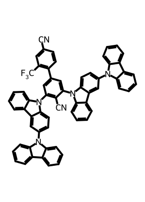 N#Cc1ccc(-c2cc(-n3c4ccccc4c4cc(-n5c6ccccc6c6ccccc65)ccc43)c(C#N)c(-n3c4ccccc4c4cc(-n5c6ccccc6c6ccccc65)ccc43)c2)c(C(F)(F)F)c1